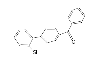 O=C(c1ccccc1)c1ccc(-c2ccccc2S)cc1